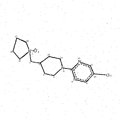 [O-][N+]1(CC2CCN(c3ncc(Cl)cn3)CC2)CCCC1